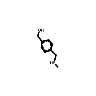 CPCc1ccc(CO)cc1